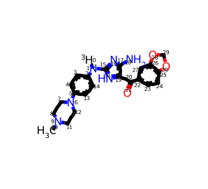 [3H]N(c1ccc(N2CCN(C)CC2)cc1)c1nc(N)c(C(=O)c2ccc3c(c2)OCO3)[nH]1